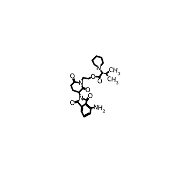 CC(C)[C@@H](C(=O)OCCN1C(=O)CCC(N2C(=O)c3cccc(N)c3C2=O)C1=O)N1CCCCC1